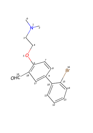 CN(C)CCOc1ccc(-c2ccccc2Br)cc1C=O